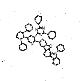 c1ccc(-c2nc(-c3ccccc3)nc(-c3cc(-c4c(-c5ccccc5)cccc4-c4ccccc4)cnc3-c3ccc4oc5c(ccc6c7ccccc7n(-c7ccccc7)c65)c4c3)n2)cc1